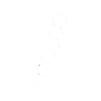 C[C@H]1c2ccccc2CCN1C(=O)[C@H]1C[C@@H](O)[C@H](NC(=O)OC(C)(C)C)CO1